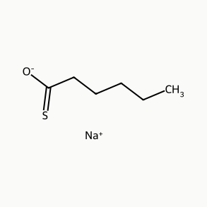 CCCCCC([O-])=S.[Na+]